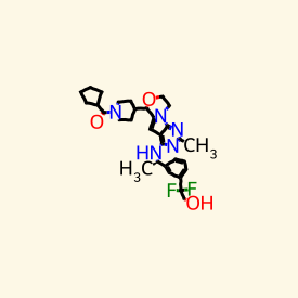 Cc1nc(N[C@H](C)c2cccc(C(F)(F)CO)c2)c2cc3n(c2n1)CCOC3C1CCN(C(=O)C2CCCC2)CC1